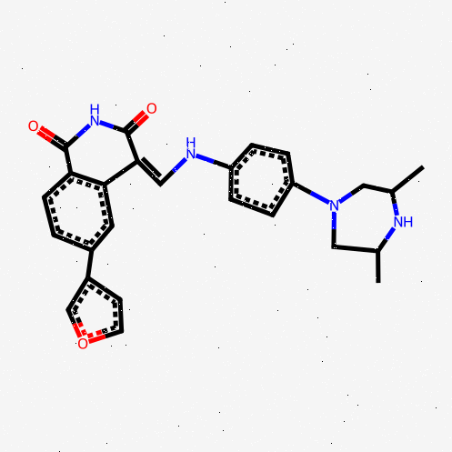 CC1CN(c2ccc(N/C=C3\C(=O)NC(=O)c4ccc(-c5ccoc5)cc43)cc2)CC(C)N1